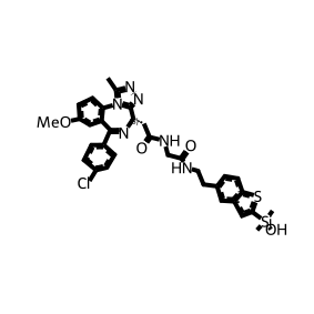 COc1ccc2c(c1)C(c1ccc(Cl)cc1)=N[C@@H](CC(=O)NCC(=O)NCCc1ccc3sc([Si](C)(C)O)cc3c1)c1nnc(C)n1-2